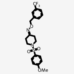 COc1ccc(S(=O)(=O)N2CCC(=NOCc3cccc(C(F)(F)F)c3)CC2)cc1